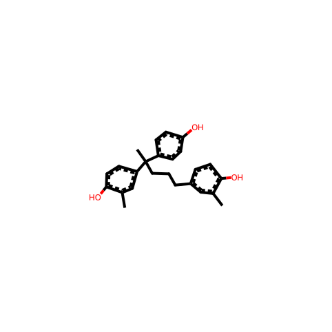 Cc1cc(CCCC(C)(c2ccc(O)cc2)c2ccc(O)c(C)c2)ccc1O